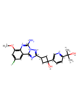 COc1cc(F)cc2c1nc(N)n1nc(C3CC(O)(c4ccc(C(C)(C)O)nc4)C3)nc21